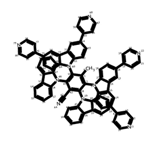 Cc1c(-n2c3ccc(-c4ccncc4)cc3c3cc(-c4ccncc4)ccc32)c(-n2c3ccccc3c3ccccc32)c(C#N)c(-n2c3ccccc3c3ccccc32)c1-n1c2ccc(-c3ccncc3)cc2c2cc(-c3ccncc3)ccc21